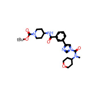 CN(C(=O)n1cnc(-c2cccc(C(=O)NC3CCN(C(=O)OC(C)(C)C)CC3)c2)c1)C1CCOCC1